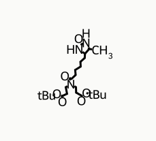 CC1NC(=O)NC1CCCCCC(=O)N(CCC(=O)OC(C)(C)C)CCC(=O)OC(C)(C)C